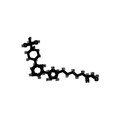 CS(=O)(=O)N1CCC(c2cncc(-c3cc(CCCCCNC=O)cs3)n2)CC1